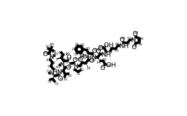 CC[C@H](C)[C@@H]([C@@H](CC(=O)N1CCC[C@H]1[C@H](OC)[C@@H](C)C(=O)NC(Cc1ccccc1)C(=O)N[C@@H](CCC(=O)O)C(=O)N[C@@H](CCCCNC(=O)CCN1C(=O)C=CC1=O)C(=O)O)OC)N(C)C(=O)[C@@H](NC(=O)[C@H](C(C)C)N(C)CCCCN(C)C(=O)C(C)(C)C)C(C)C